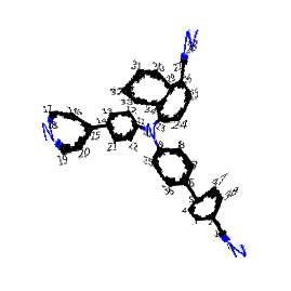 N#Cc1ccc(-c2ccc(N(c3ccc(-c4ccncc4)cc3)c3ccc(C#N)c4ccccc34)cc2)cc1